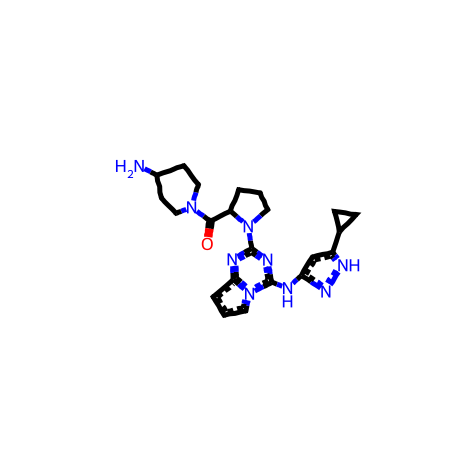 NC1CCN(C(=O)C2CCCN2c2nc(Nc3cc(C4CC4)[nH]n3)n3cccc3n2)CC1